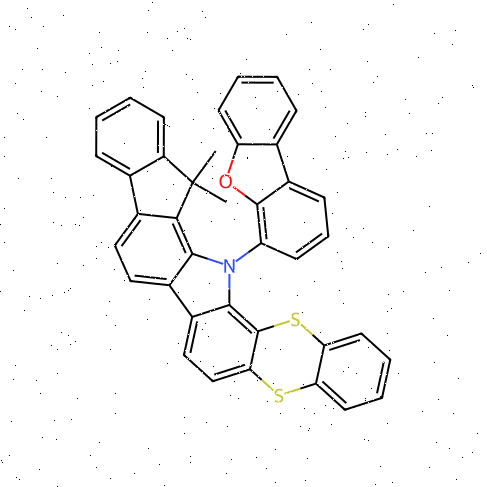 CC1(C)c2ccccc2-c2ccc3c4ccc5c(c4n(-c4cccc6c4oc4ccccc46)c3c21)Sc1ccccc1S5